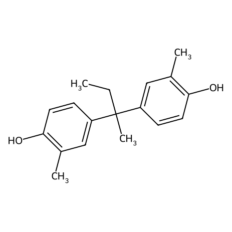 CCC(C)(c1ccc(O)c(C)c1)c1ccc(O)c(C)c1